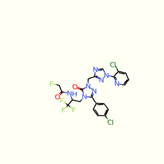 O=C(CF)NC(Cn1c(-c2ccc(Cl)cc2)nn(Cc2ncn(-c3ncccc3Cl)n2)c1=O)C(F)(F)F